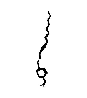 CCCCCCCCC#CCOCc1ccc(CO)cc1